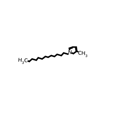 CCCCCCCCCCCCCCN1C=CC=C(C)C1